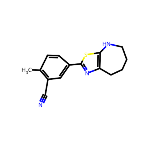 Cc1ccc(-c2nc3c(s2)NCCCC3)cc1C#N